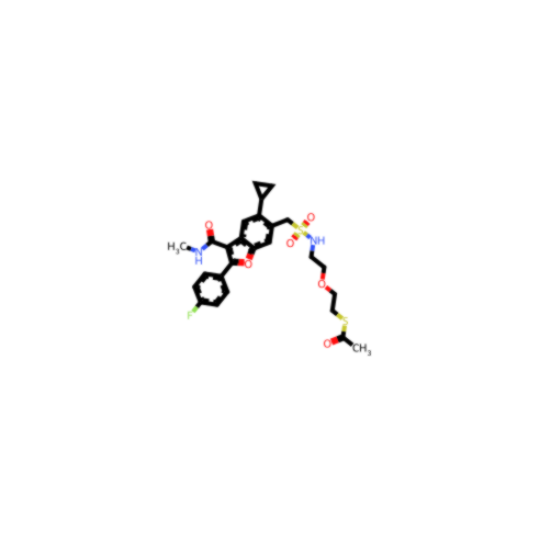 CNC(=O)c1c(-c2ccc(F)cc2)oc2cc(CS(=O)(=O)NCCOCCSC(C)=O)c(C3CC3)cc12